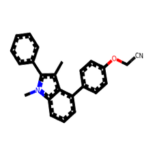 Cc1c(-c2ccccc2)n(C)c2cccc(-c3ccc(OCC#N)cc3)c12